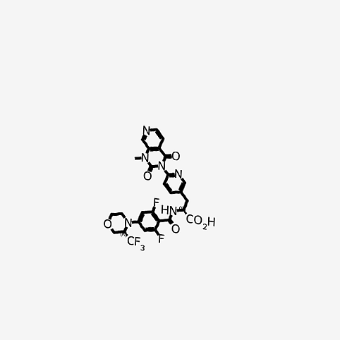 Cn1c(=O)n(-c2ccc(C[C@H](NC(=O)c3c(F)cc(N4CCOC[C@@H]4C(F)(F)F)cc3F)C(=O)O)cn2)c(=O)c2ccncc21